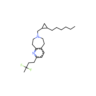 CCCCCCC1CC1CN1CCc2ccc(CCC(C)(F)F)nc2CC1